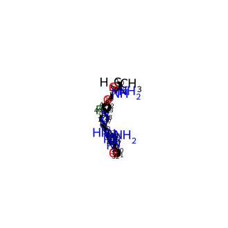 CC(C)[C@H](N)C(=O)NCCOc1ccc(N2CCN(CCNc3nc(N)n4nc(-c5ccco5)nc4n3)CC2)c(F)c1